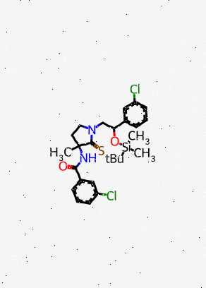 CC1(NC(=O)c2cccc(Cl)c2)CCN(CC(O[Si](C)(C)C(C)(C)C)c2cccc(Cl)c2)C1=S